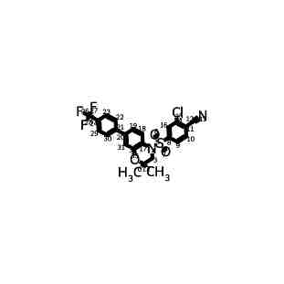 CC1(C)CN(S(=O)(=O)c2ccc(C#N)c(Cl)c2)c2ccc(-c3ccc(C(F)(F)F)cc3)cc2O1